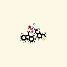 C[C@@H](Cc1ccc2sccc2c1)N(C)C(=O)OCC1c2ccccc2-c2ccccc21